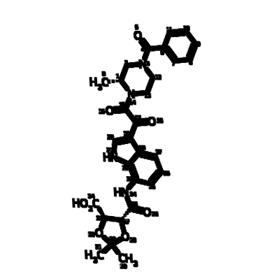 C[C@@H]1CN(C(=O)c2ccccc2)CCN1C(=O)C(=O)c1c[nH]c2c(NC(=O)[C@@H]3OC(C)(C)O[C@H]3C(=O)O)cccc12